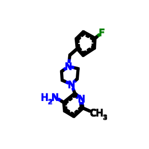 Cc1ccc(N)c(N2CCN(Cc3ccc(F)cc3)CC2)n1